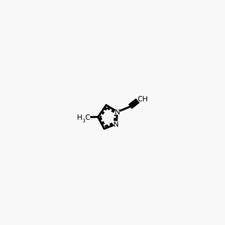 C#Cn1cc(C)cn1